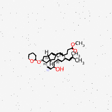 COC(=O)CCC=CC1=C[C@H]2C[C@@H](OC3CCCCO3)[C@@H](/C=C\C(O)C[C@H](C)CCC=C(C)C)[C@H]2C1